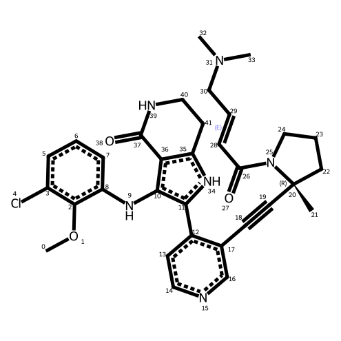 COc1c(Cl)cccc1Nc1c(-c2ccncc2C#C[C@@]2(C)CCCN2C(=O)/C=C/CN(C)C)[nH]c2c1C(=O)NCC2